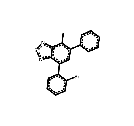 Cc1c(-c2ccccc2)cc(-c2ccccc2Br)c2nsnc12